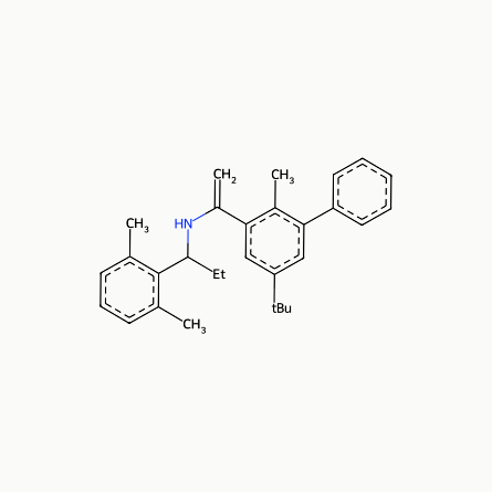 C=C(NC(CC)c1c(C)cccc1C)c1cc(C(C)(C)C)cc(-c2ccccc2)c1C